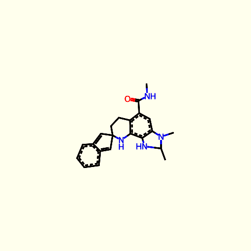 CNC(=O)c1cc2c(c3c1CCC1(C=c4ccccc4=C1)N3)NC(C)N2C